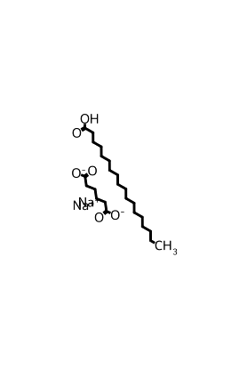 CCCCCCCCCCCCCCCCCC(=O)O.O=C([O-])CCCCC(=O)[O-].[Na+].[Na+]